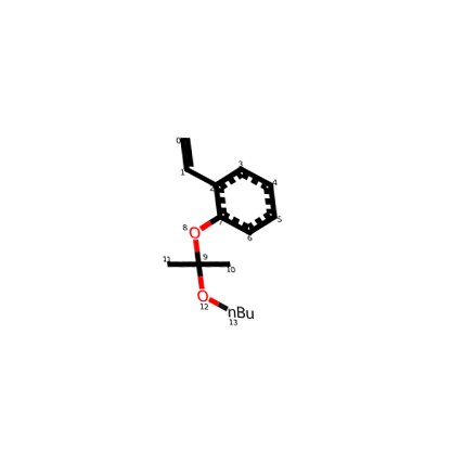 C=Cc1ccccc1OC(C)(C)OCCCC